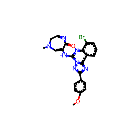 COc1ccc(-c2nc3c4cccc(Br)c4nc(NC4=CN(C)CC=NC4=O)n3n2)cc1